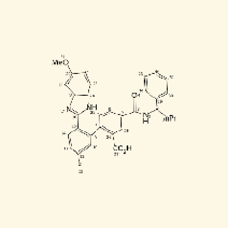 CCCC(NC(=O)c1ccc(-c2cc(F)ccc2-c2nc3cc(OC)ccc3[nH]2)c(C(=O)O)c1)c1ccccc1